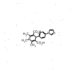 CC1=C(C(=O)O)C(c2ccc(-n3ccnc3)cc2)C(C(=O)O)=C(C)N1C